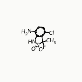 CC1(F)c2c(Cl)ccc(N)c2NS1(=O)=O